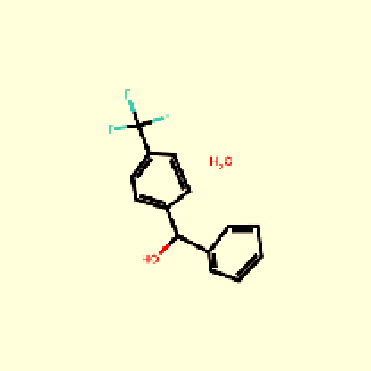 O.OC(c1ccccc1)c1ccc(C(F)(F)F)cc1